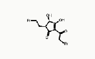 CC(C)CC[C@@H]1C(=O)C(C(=O)CC(C)C)=C(O)[C@@H]1O